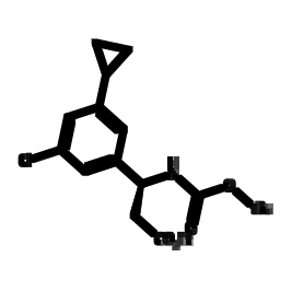 CCOC(=O)C[C@H](NC(=O)OC(C)(C)C)c1cc(Cl)cc(C2CC2)c1